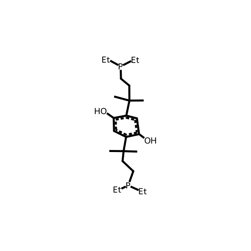 CCP(CC)CCC(C)(C)c1cc(O)c(C(C)(C)CCP(CC)CC)cc1O